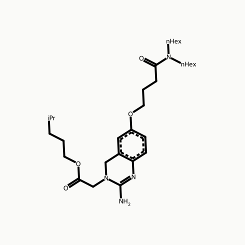 CCCCCCN(CCCCCC)C(=O)CCCOc1ccc2c(c1)CN(CC(=O)OCCCC(C)C)C(N)=N2